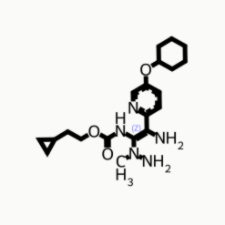 CN(N)/C(NC(=O)OCCC1CC1)=C(\N)c1ccc(OC2CCCCC2)cn1